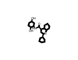 O=C(Nc1cc(O)ccc1O)c1cc(-c2ccccc2)nc2ccccc12